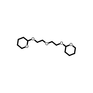 C1CCC(OCCOCCOC2CCCCO2)OC1